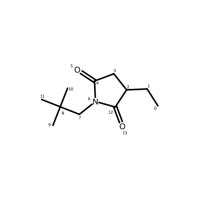 CCC1CC(=O)N(CC(C)(C)C)C1=O